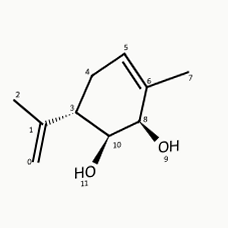 C=C(C)[C@@H]1CC=C(C)[C@@H](O)[C@H]1O